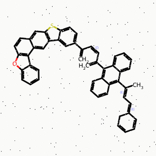 C=C(/C=C\C(=C)c1c2ccccc2c(/C(C)=C/C=C2/C=CC=CC2)c2ccccc12)c1ccc2sc3cc4ccc5oc6ccccc6c5c4cc3c2c1